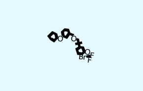 CC(C)(COCc1cccc(Oc2ccccc2)c1)c1cccc(OC(F)(F)Br)c1